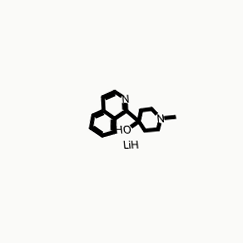 CN1CCC(O)(c2nccc3ccccc23)CC1.[LiH]